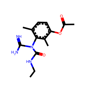 CCNC(=O)N(C(=N)N)c1c(C)ccc(OC(C)=O)c1C